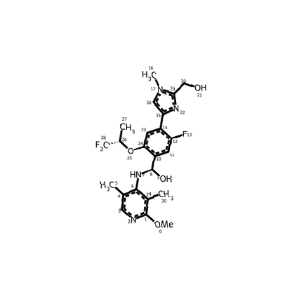 COc1ncc(C)c(NC(O)c2cc(F)c(-c3cn(C)c(CO)n3)cc2O[C@@H](C)C(F)(F)F)c1C